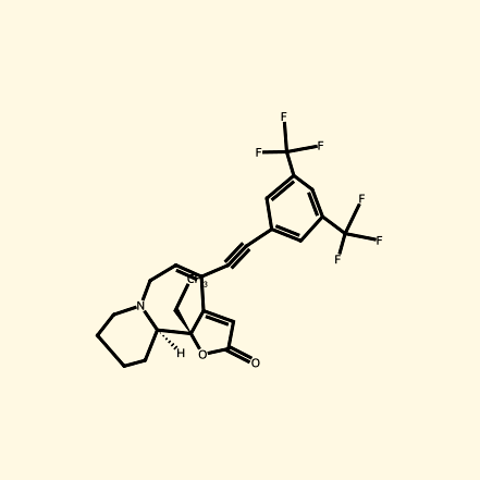 CC[C@]12OC(=O)C=C1C(C#Cc1cc(C(F)(F)F)cc(C(F)(F)F)c1)=CCN1CCCC[C@@H]12